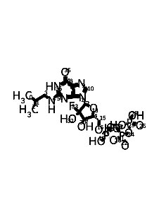 CC(C)CNc1nc2c(ncn2[C@@H]2O[C@H](COP(=O)(O)OP(=O)(O)OP(=O)(O)O)[C@@H](O)[C@]2(O)F)c(=O)[nH]1